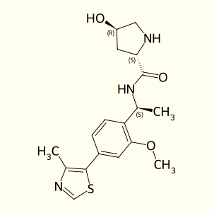 COc1cc(-c2scnc2C)ccc1[C@H](C)NC(=O)[C@@H]1C[C@@H](O)CN1